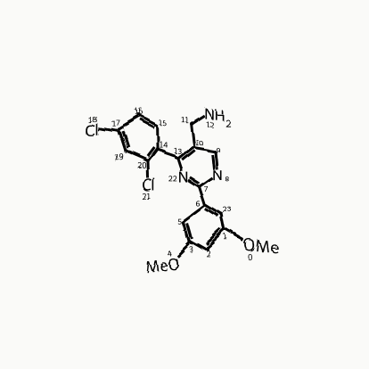 COc1cc(OC)cc(-c2ncc(CN)c(-c3ccc(Cl)cc3Cl)n2)c1